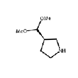 COC(OC)[C@@H]1CCNC1